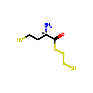 N[C@@H](CCS)C(=O)SSSS